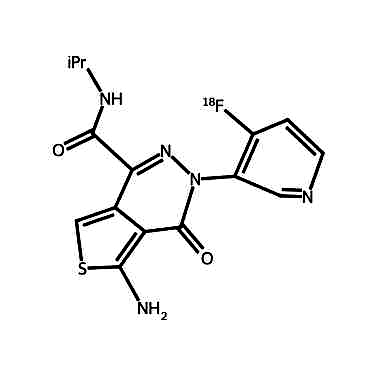 CC(C)NC(=O)c1nn(-c2cnccc2[18F])c(=O)c2c(N)scc12